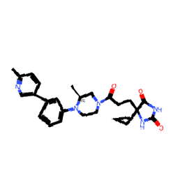 Cc1ccc(-c2cccc(N3CCN(C(=O)CCC4(C5CC5)NC(=O)NC4=O)C[C@@H]3C)c2)cn1